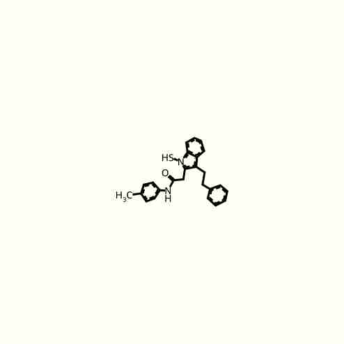 Cc1ccc(NC(=O)Cc2c(CCc3ccccc3)c3ccccc3n2S)cc1